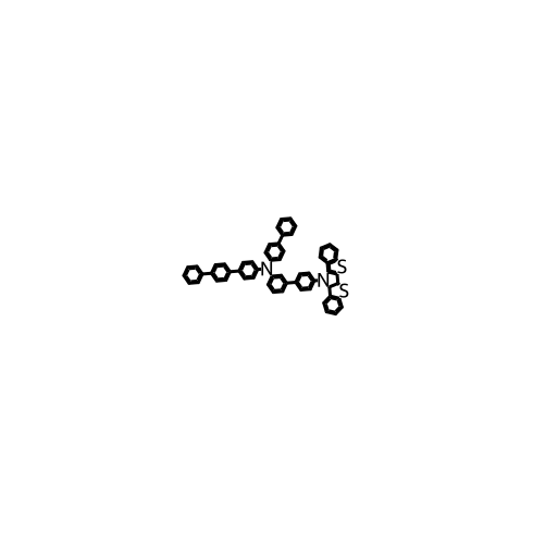 c1ccc(-c2ccc(-c3ccc(N(c4ccc(-c5ccccc5)cc4)c4cccc(-c5ccc(N6c7c(sc8ccccc78)C7Sc8ccccc8C76)cc5)c4)cc3)cc2)cc1